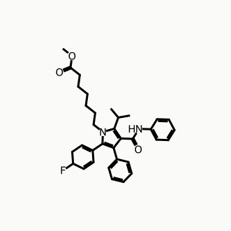 COC(=O)CCCCCCn1c(C2=CCC(F)C=C2)c(-c2ccccc2)c(C(=O)Nc2ccccc2)c1C(C)C